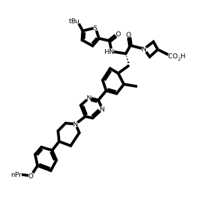 CCCOc1ccc(C2CCN(c3cnc(C4=CC(C)C(C[C@H](NC(=O)c5ccc(C(C)(C)C)s5)C(=O)N5CC(C(=O)O)C5)C=C4)nc3)CC2)cc1